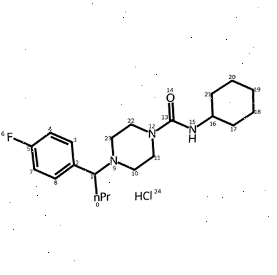 CCCC(c1ccc(F)cc1)N1CCN(C(=O)NC2CCCCC2)CC1.Cl